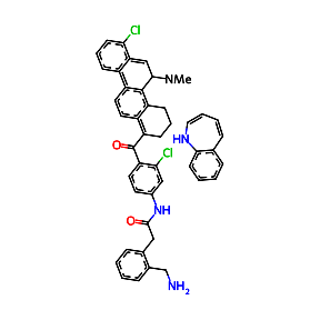 C1=CNc2ccccc2C=C1.CNC1C=c2c(Cl)cccc2=c2ccc3c(c21)CCCC=3C(=O)c1ccc(NC(=O)Cc2ccccc2CN)cc1Cl